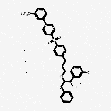 CCOC(=O)c1cccc(-c2ccc(S(=O)(=O)c3ccc(CCCNC(Cc4ccccc4)[C@H](O)c4cccc(Cl)c4)cc3)cc2)c1